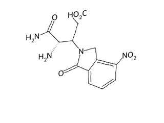 NC(=O)[C@@H](N)C(CC(=O)O)N1Cc2c(cccc2[N+](=O)[O-])C1=O